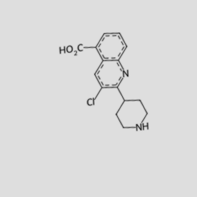 O=C(O)c1cccc2nc(C3CCNCC3)c(Cl)cc12